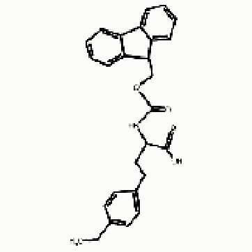 CCc1ccc(CCC(NC(=O)OCC2c3ccccc3-c3ccccc32)C(=O)O)cc1